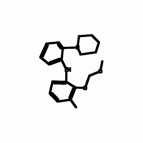 COCOc1c(C)cccc1Pc1ccccc1N1CCCCC1